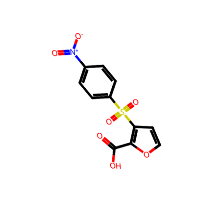 O=C(O)c1occc1S(=O)(=O)c1ccc([N+](=O)[O-])cc1